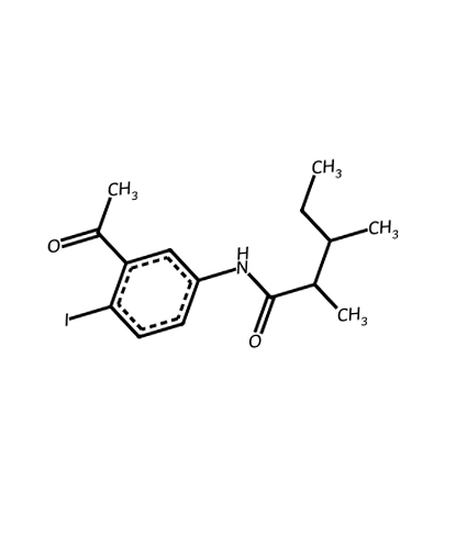 CCC(C)C(C)C(=O)Nc1ccc(I)c(C(C)=O)c1